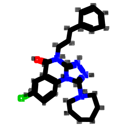 O=c1c2cc(Cl)ccc2n2c(N3CCCCCC3)nnc2n1CCCc1ccccc1